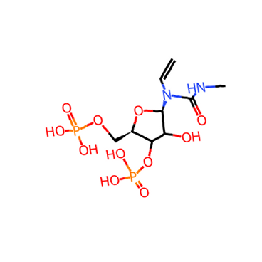 C=CN(C(=O)NC)[C@@H]1O[C@H](COP(=O)(O)O)C(OP(=O)(O)O)C1O